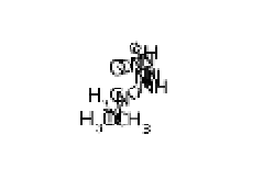 CN(C)CCN(C)c1ccc(Nc2ncc3nc([SH]4C=CC=C4)n(C4CCOCC4)c3n2)cc1